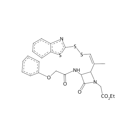 CCOC(=O)CN1C(=O)C(NC(=O)COc2ccccc2)C1C(C)=CSSc1nc2ccccc2s1